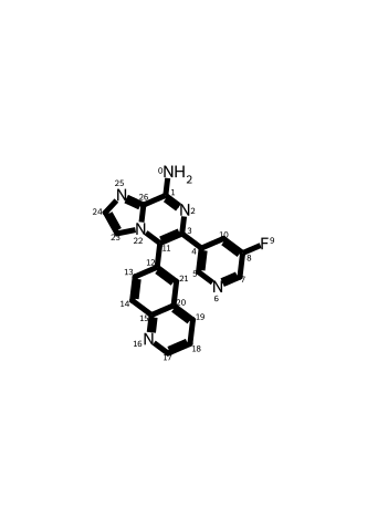 Nc1nc(-c2cncc(F)c2)c(-c2ccc3ncccc3c2)n2ccnc12